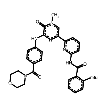 CCCCc1ccccc1C(=O)Nc1cccc(-c2cn(C)c(=O)c(Nc3ccc(C(=O)N4CCOCC4)cc3)n2)n1